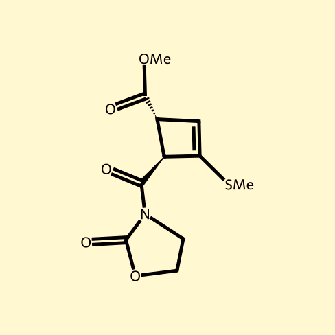 COC(=O)[C@@H]1C=C(SC)[C@H]1C(=O)N1CCOC1=O